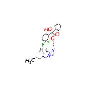 CCCCC[n+]1ccn(CCCOC(=O)[C@](O)(c2ccccc2)[C@@H]2CCCC(F)(F)C2)c1C